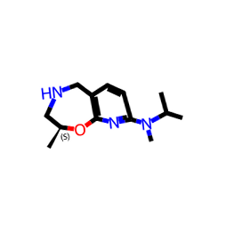 CC(C)N(C)c1ccc2c(n1)O[C@@H](C)CNC2